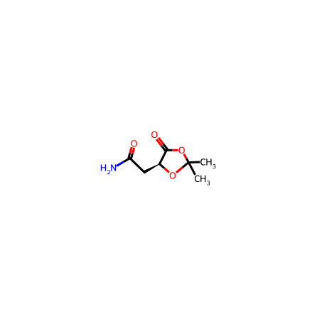 CC1(C)OC(=O)[C@H](CC(N)=O)O1